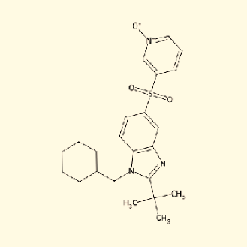 CC(C)(C)c1nc2cc(S(=O)(=O)c3ccc[n+]([O-])c3)ccc2n1CC1CCCCC1